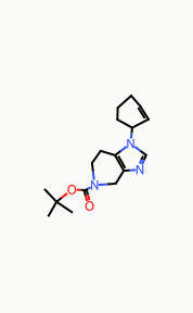 CC(C)(C)OC(=O)N1CCc2c(ncn2C2C=CCCC2)C1